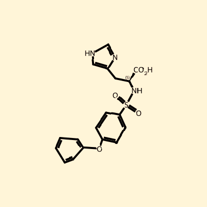 O=C(O)[C@H](Cc1c[nH]cn1)NS(=O)(=O)c1ccc(Oc2ccccc2)cc1